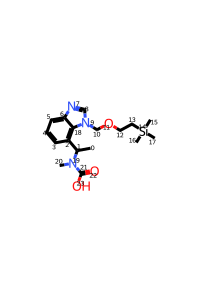 CC(c1cccc2ncn(COCC[Si](C)(C)C)c12)N(C)C(=O)O